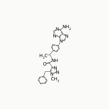 CC(NC(=O)c1nnn(C)c1Cc1ccccc1)c1ccc(-n2cnc3c(N)ncnc32)cc1